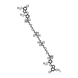 Cc1cc(S(=O)(=O)NCCOCCOCCNC(=O)NCCCCNC(=O)NCCOCCOCCNS(=O)(=O)c2ccc(O[C@@H]3CCc4c(C)cc(Cl)cc43)c(C)c2)ccc1O[C@@H]1CCc2c(C)cc(Cl)cc21